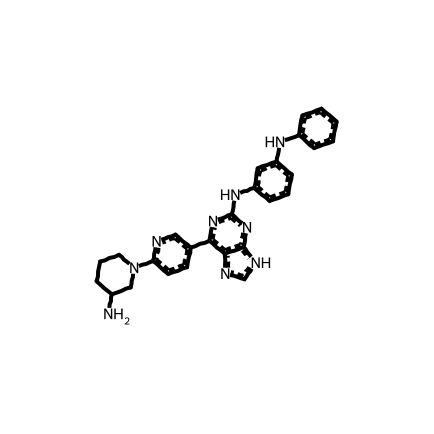 NC1CCCN(c2ccc(-c3nc(Nc4cccc(Nc5ccccc5)c4)nc4[nH]cnc34)cn2)C1